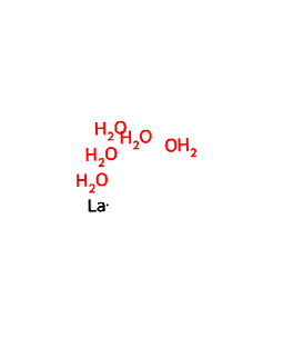 O.O.O.O.O.[La]